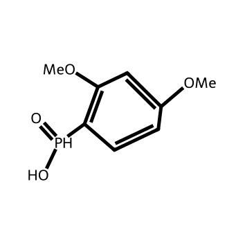 COc1ccc([PH](=O)O)c(OC)c1